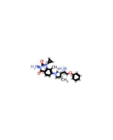 Cc1c(N2C[C@H]([C@H](N)COc3ccccc3)[C@H](C)C2)ccc2c(=O)n(N)c(=O)n(C3CC3)c12